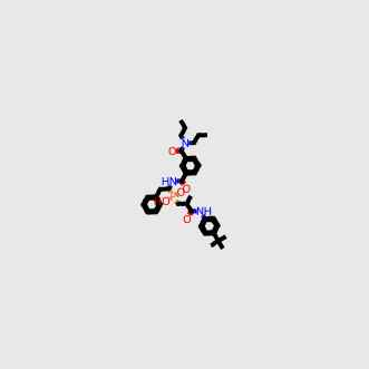 CCCN(CCC)C(=O)c1cccc(C(=O)NC(Cc2ccccc2)P(=O)(O)CC(C)C(=O)Nc2ccc(C(C)(C)C)cc2)c1